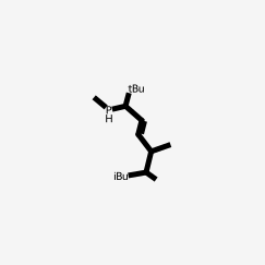 CCC(C)C(C)C(C)C=CC(PC)C(C)(C)C